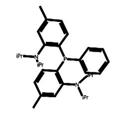 Cc1ccc(P(c2ccccc2)c2ccc(C)cc2N(C(C)C)C(C)C)c(N(C(C)C)C(C)C)c1